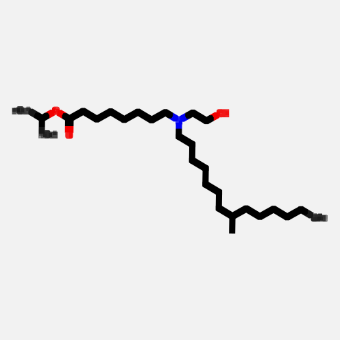 CCCCCCCCC(CCCCCCCC)OC(=O)CCCCCCCN(CCO)CCCCCCCC(C)CCCCCOC(C)=O